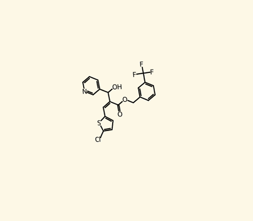 O=C(OCc1cccc(C(F)(F)F)c1)/C(=C\c1ccc(Cl)s1)C(O)c1cccnc1